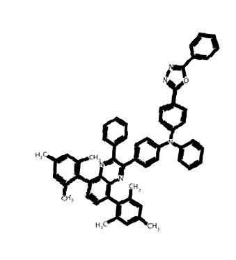 Cc1cc(C)c(-c2ccc(-c3c(C)cc(C)cc3C)c3nc(-c4ccc(N(c5ccccc5)c5ccc(-c6nnc(-c7ccccc7)o6)cc5)cc4)c(-c4ccccc4)nc23)c(C)c1